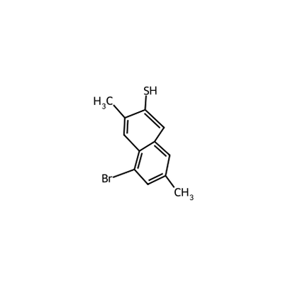 Cc1cc(Br)c2cc(C)c(S)cc2c1